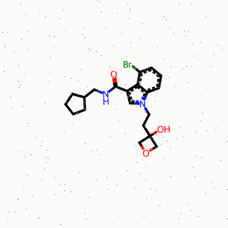 O=C(NCC1CCCC1)c1cn(CCC2(O)COC2)c2cccc(Br)c12